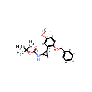 COc1ccc(OCc2ccccc2)c(C2CC2NC(=O)OC(C)(C)C)c1